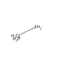 [CH2]CCCCCCCCCCCCC(C)SC